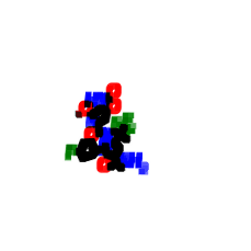 COc1nc(C(=O)NCC(C)(c2cc3c(c(-c4ccc(F)cc4)n2)OCC3(C)N)C(F)(F)F)cc2oc(=O)[nH]c12